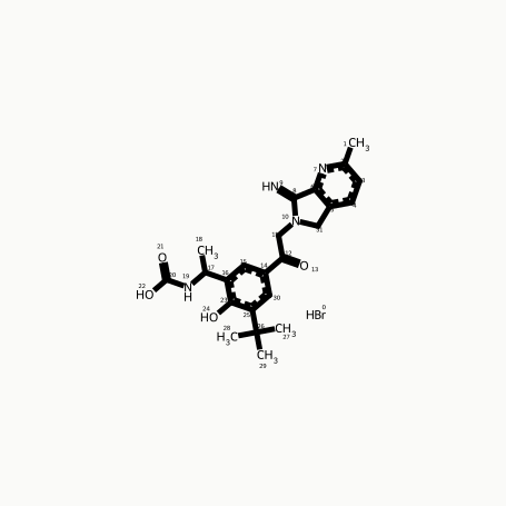 Br.Cc1ccc2c(n1)C(=N)N(CC(=O)c1cc(C(C)NC(=O)O)c(O)c(C(C)(C)C)c1)C2